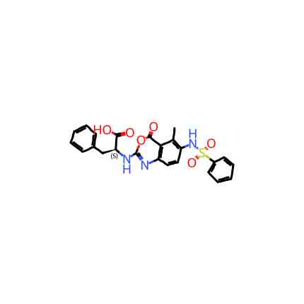 Cc1c(NS(=O)(=O)c2ccccc2)ccc2nc(N[C@@H](Cc3ccccc3)C(=O)O)oc(=O)c12